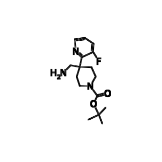 CC(C)(C)OC(=O)N1CCC(CN)(c2ncccc2F)CC1